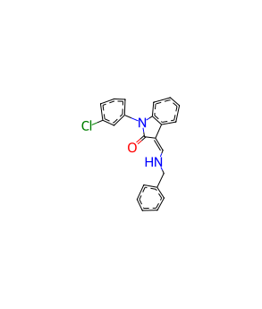 O=C1C(=CNCc2ccccc2)c2ccccc2N1c1cccc(Cl)c1